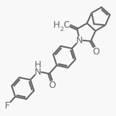 C=C1C2C3C=CC(C3)C2C(=O)N1c1ccc(C(=O)Nc2ccc(F)cc2)cc1